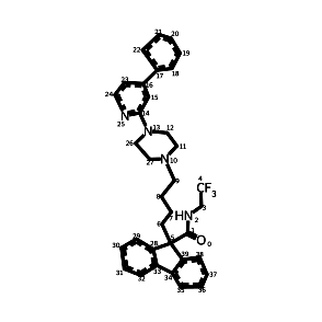 O=C(NCC(F)(F)F)C1(CCCCN2CCN(c3cc(-c4ccccc4)ccn3)CC2)c2ccccc2-c2ccccc21